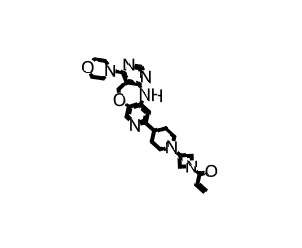 C=CC(=O)N1CC(N2CCC(c3cc4c(cn3)OCc3c(ncnc3N3CCOCC3)N4)CC2)C1